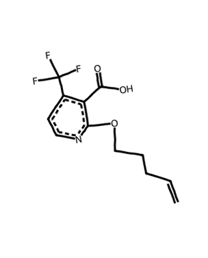 C=CCCCOc1nccc(C(F)(F)F)c1C(=O)O